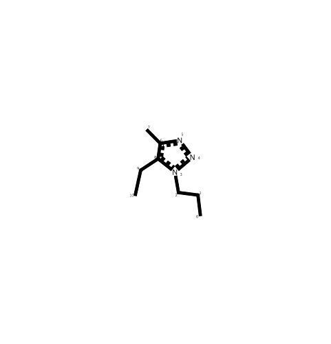 CCCn1nnc(C)c1CC